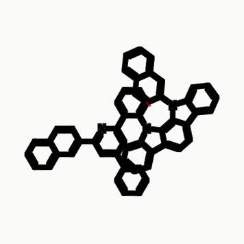 c1ccc(-c2cc(-c3ccc4ccccc4c3)nc(-c3ccccc3-n3c4ccccc4c4ccc5c6ccccc6n(-c6ccc7ccccc7c6)c5c43)c2)cc1